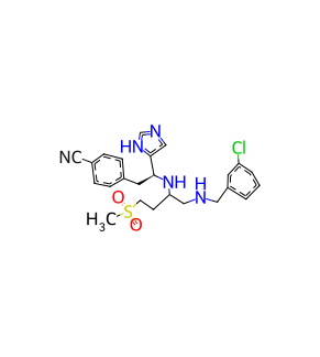 CS(=O)(=O)CCC(CNCc1cccc(Cl)c1)N[C@@H](Cc1ccc(C#N)cc1)c1cnc[nH]1